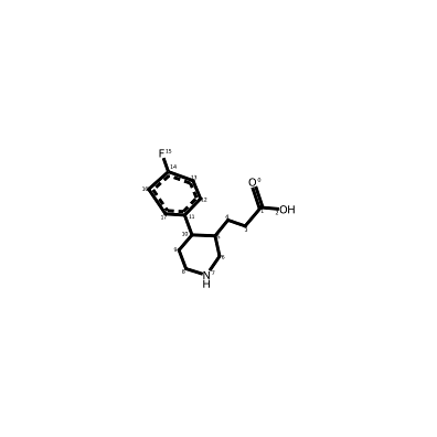 O=C(O)CCC1CNCCC1c1ccc(F)cc1